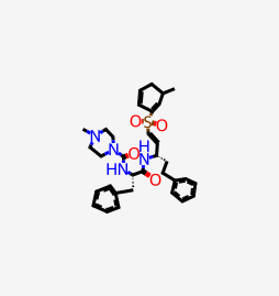 CC1C=C(S(=O)(=O)/C=C/[C@H](CCc2ccccc2)NC(=O)[C@H](Cc2ccccc2)NC(=O)N2CCN(C)CC2)C=CC1